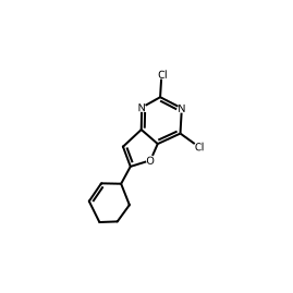 Clc1nc(Cl)c2oc(C3C=CCCC3)cc2n1